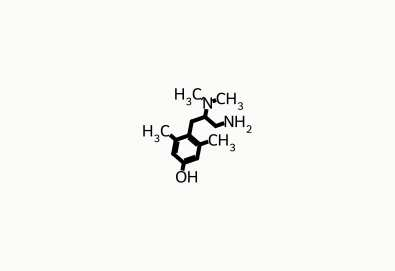 Cc1cc(O)cc(C)c1CC(CN)N(C)C